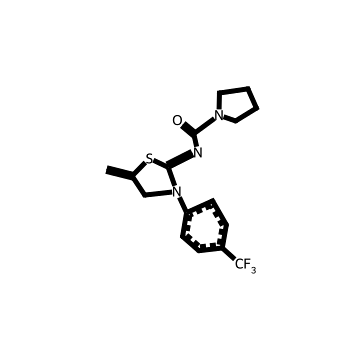 C=C1CN(c2ccc(C(F)(F)F)cc2)C(=NC(=O)N2CCCC2)S1